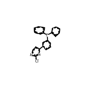 Clc1nccc(-c2cccc(P(c3ccccc3)c3ccccc3)c2)n1